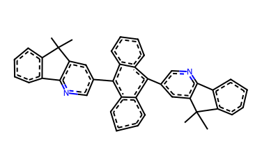 CC1(C)c2ccccc2-c2ncc(-c3c4ccccc4c(-c4cnc5c(c4)C(C)(C)c4ccccc4-5)c4ccccc34)cc21